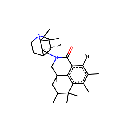 [2H]c1c(C)c(C)c2c3c1C(=O)N([C@@]1(C)C4CCN(CC4)C1(C)C)C[C@H]3CC(C)C2(C)C